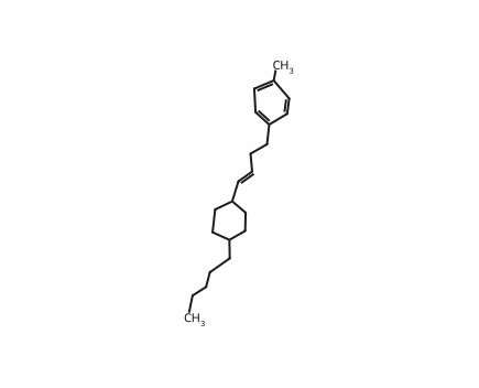 CCCCCC1CCC(C=CCCc2ccc(C)cc2)CC1